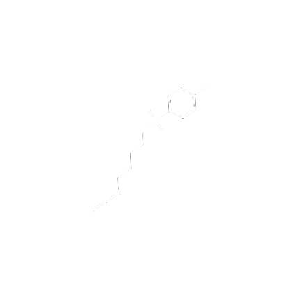 Cc1ccc(S(=O)(=O)OCCCCN=[N+]=[N-])cc1